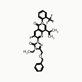 C=C(C)c1cn(-c2ccccc2C(F)(F)F)c(=O)c2cc(F)c(-n3nc(COCc4ccccc4)n(CC)c3=O)nc12